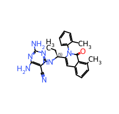 CC[C@H](Nc1nc(N)nc(N)c1C#N)c1cc2cccc(C)c2c(=O)n1-c1ccccc1C